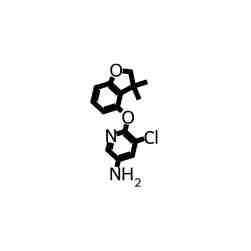 CC1(C)COc2cccc(Oc3ncc(N)cc3Cl)c21